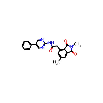 Cc1cc(CC(=O)Nc2ncc(-c3ccccc3)cn2)c2c(c1)C(=O)N(C)C2=O